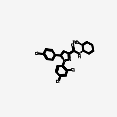 O=C(N[C@H]1CCCC[C@@H]1O)C1=NN(c2ccc(Cl)cc2Cl)C(C2C=CC(Cl)=CC2)C1